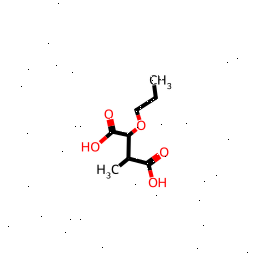 CCCOC(C(=O)O)C(C)C(=O)O